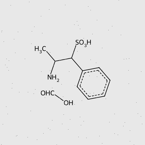 CC(N)C(c1ccccc1)S(=O)(=O)O.O=CO